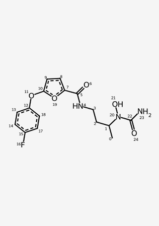 CC(CCNC(=O)c1ccc(Oc2ccc(F)cc2)o1)N(O)C(N)=O